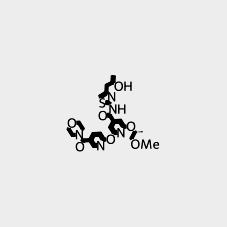 C=C(O)Cc1csc(NC(=O)c2cc(Oc3ccc(C(=O)N4CCOCC4)cn3)nc(O[C@H](C)COC)c2)n1